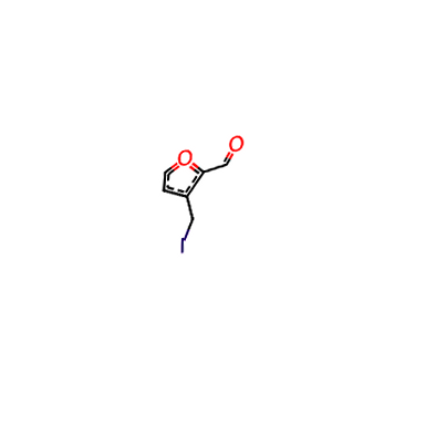 O=Cc1occc1CI